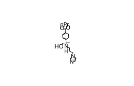 CCCOC(=O)c1ccc(C(C)(CO)NCCCn2ccnc2)cc1